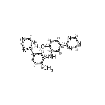 Cc1ccc(-c2ncncn2)cc1Nc1cc(-c2ncncn2)ccc1C